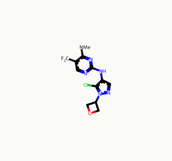 CNc1nc(Nc2cnn(C3COC3)c2Cl)ncc1C(F)(F)F